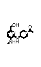 CNc1ccc(CO)nc1NC1CCN(C(C)=O)CC1